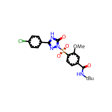 COc1cc(C(=O)NC(C)(C)C)ccc1S(=O)(=O)n1nc(-c2ccc(Cl)cc2)[nH]c1=O